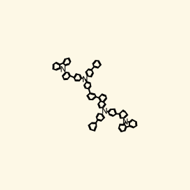 c1ccc(-c2ccc(N(c3ccc(-c4cccc(-c5cccc6cc(N(c7ccc(-c8ccccc8)cc7)c7ccc(-c8cccc(-n9c%10ccccc%10c%10ccccc%109)c8)cc7)ccc56)c4)cc3)c3ccc(-c4cccc(-n5c6ccccc6c6ccccc65)c4)cc3)cc2)cc1